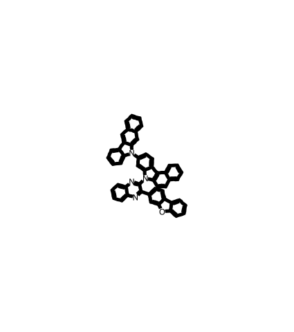 c1ccc2cc3c(cc2c1)c1ccccc1n3-c1ccc2c3c4ccccc4ccc3n(-c3nc4ccccc4nc3-c3ccc4c(c3)oc3ccccc34)c2c1